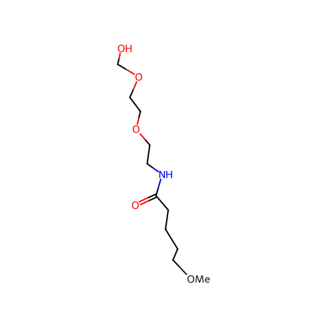 COCCCCC(=O)NCCOCCOCO